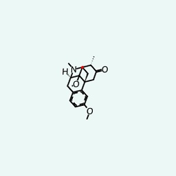 COc1ccc2c(c1)[C@]13CCN(C)[C@H](C2)C1(OC)C[C@H](C)C(=O)C3